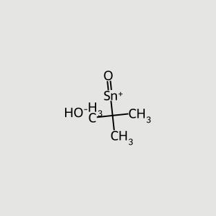 C[C](C)(C)[Sn+]=[O].[OH-]